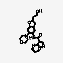 O=C(Nc1cc2c(cc1N1CCOCC1)OC(CCO)C2)c1cnn2cccnc12